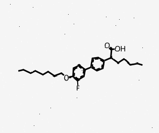 CCCCCCCCOc1ccc(-c2ccc(C(CCCCC)C(=O)O)cc2)cc1F